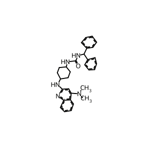 CN(C)c1cc(NC2CCC(NC(=O)NC(c3ccccc3)c3ccccc3)CC2)nc2ccccc12